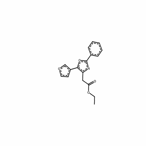 CCOC(=O)Cc1nc(-c2ccccc2)oc1-c1ccoc1